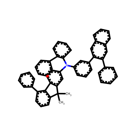 CC1(C)c2cc(N(c3cccc(-c4cc5ccccc5cc4-c4ccccc4)c3)c3ccccc3-c3ccccc3)ccc2-c2c(-c3ccccc3)cccc21